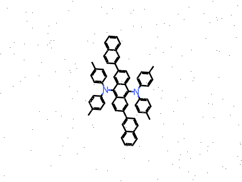 Cc1ccc(N(c2ccc(C)cc2)c2c3ccc(-c4ccc5ccccc5c4)cc3c(N(c3ccc(C)cc3)c3ccc(C)cc3)c3ccc(-c4ccc5ccccc5c4)cc23)cc1